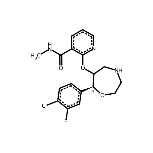 CNC(=O)c1cccnc1OC1CNCCO[C@H]1c1ccc(Cl)c(F)c1